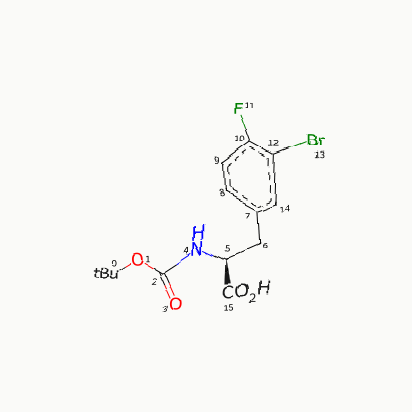 CC(C)(C)OC(=O)N[C@@H](Cc1ccc(F)c(Br)c1)C(=O)O